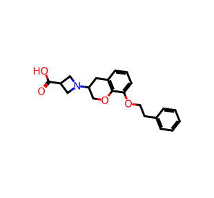 O=C(O)C1CN(C2COc3c(cccc3OCCc3ccccc3)C2)C1